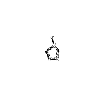 [O-][s+]1cnnc1